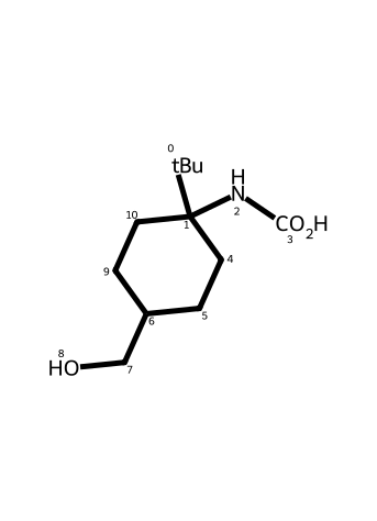 CC(C)(C)C1(NC(=O)O)CCC(CO)CC1